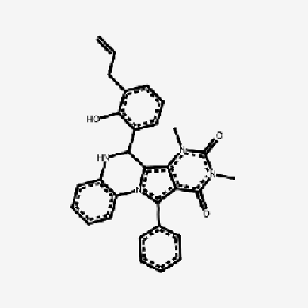 C=CCc1cccc(C2Nc3ccccc3-n3c(-c4ccccc4)c4c(=O)n(C)c(=O)n(C)c4c32)c1O